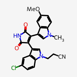 COc1ccc2c(c1)c(C1=C(c3cn(CCC#N)c4ccc(Cl)cc34)C(=O)NC1=O)cn2C